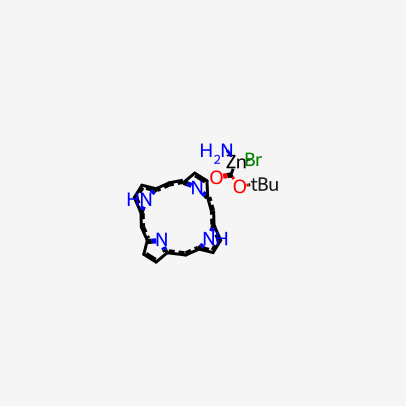 C1=Cc2cc3ccc(cc4nc(cc5ccc(cc1n2)[nH]5)C=C4)[nH]3.CC(C)(C)O[C](=O)[Zn]([NH2])[Br]